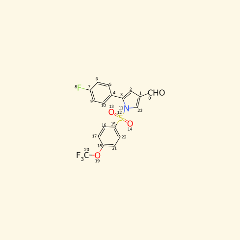 O=Cc1cc(-c2ccc(F)cc2)n(S(=O)(=O)c2ccc(OC(F)(F)F)cc2)c1